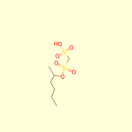 CCCCC(C)OS(=O)(=O)CS(=O)(=O)O